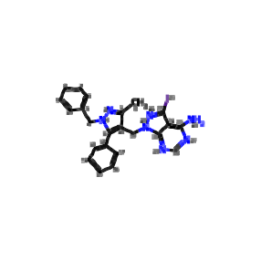 Cc1nn(Cc2ccccc2)c(-c2ccccc2)c1Cn1nc(I)c2c(N)ncnc21